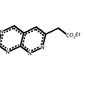 CCOC(=O)Cc1cc2cncnc2nn1